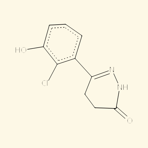 O=C1CCC(c2cccc(O)c2Cl)=NN1